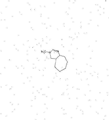 CN1C=NC2CCCCCC2C1